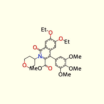 CCOc1cc2c(-c3cc(OC)c(OC)c(OC)c3)c(C(=O)OC)n(C3CCOCC3)c(=O)c2cc1OCC